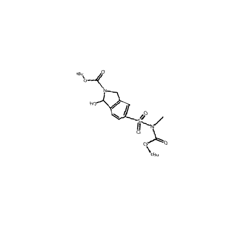 CN(C(=O)OC(C)(C)C)S(=O)(=O)c1ccc2c(c1)CN(C(=O)OC(C)(C)C)C2O